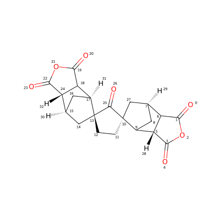 O=C1OC(=O)[C@H]2C1[C@H]1CC2[C@]2(CC[C@]3(C[C@@H]4C[C@H]3C3C(=O)OC(=O)[C@H]34)C2=O)C1